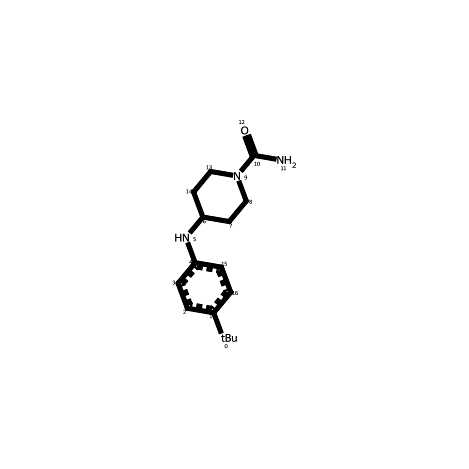 CC(C)(C)c1ccc(NC2CCN(C(N)=O)CC2)cc1